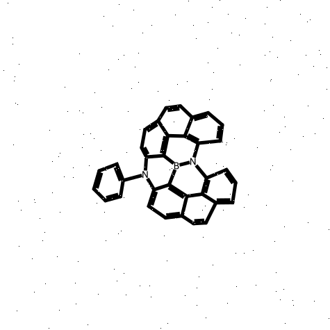 c1ccc(N2c3ccc4ccc5cccc6c5c4c3B3c4c2ccc2ccc5cccc(c5c42)N36)cc1